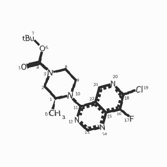 C[C@H]1CN(C(=O)OC(C)(C)C)CCN1c1ncnc2c(F)c(Cl)ncc12